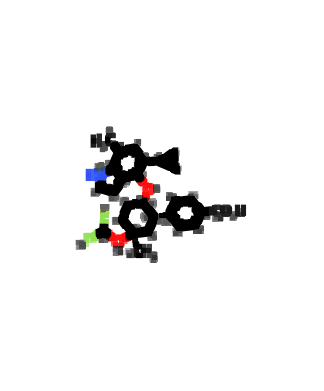 Cc1cc(C2CC2)c(O[C@@H]2CC[C@](C)(OC(F)F)C[C@H]2c2ccc(C(=O)O)cc2)c2cc[nH]c12